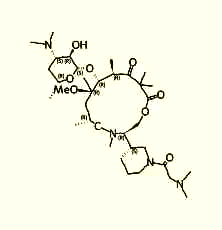 CO[C@]1(C)C[C@@H](C)CN(C)[C@H]([C@H]2CCCN(C(=O)CN(C)C)C2)COC(=O)C(C)(C)C(=O)[C@H](C)[C@H]1O[C@@H]1O[C@H](C)C[C@H](N(C)C)[C@H]1O